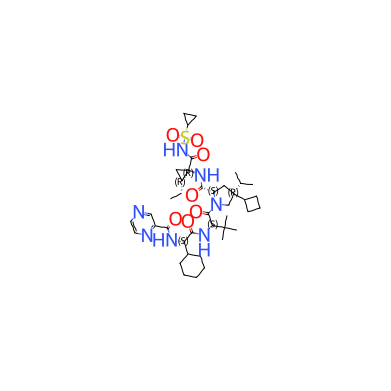 CC[C@@H]1C[C@]1(NC(=O)[C@@H]1C[C@@](C(C)C)(C2CCC2)CN1C(=O)[C@@H](NC(=O)[C@@H](NC(=O)c1cnccn1)C1CCCCC1)C(C)(C)C)C(=O)NS(=O)(=O)C1CC1